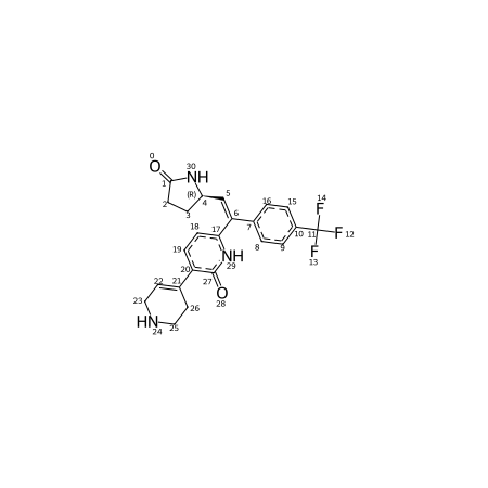 O=C1CC[C@H](C=C(c2ccc(C(F)(F)F)cc2)c2ccc(C3=CCNCC3)c(=O)[nH]2)N1